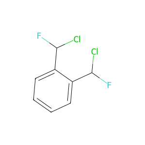 FC(Cl)c1ccccc1C(F)Cl